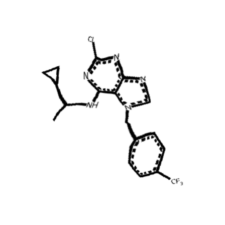 CC(Nc1nc(Cl)nc2ncn(Cc3ccc(C(F)(F)F)cc3)c12)C1CC1